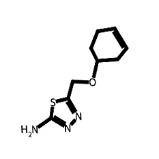 Nc1nnc(COC2CC=CCC2)s1